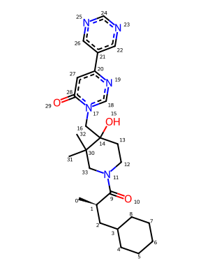 C[C@H](CC1CCCCC1)C(=O)N1CCC(O)(Cn2cnc(-c3cncnc3)cc2=O)C(C)(C)C1